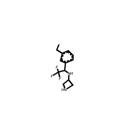 CCc1cccc(C(NC2CNC2)C(F)(F)F)c1